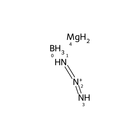 B.N=[N+]=N.[MgH2]